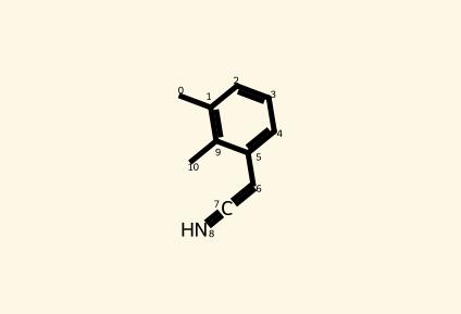 Cc1cccc(C=C=N)c1C